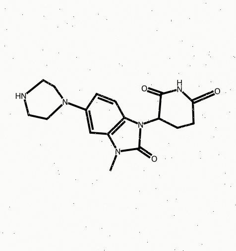 Cn1c(=O)n(C2CCC(=O)NC2=O)c2ccc(N3CCNCC3)cc21